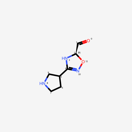 O=C[C@@H]1NC(C2CCNC2)=NO1